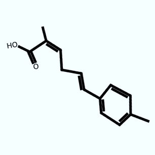 CC(=CCC=Cc1ccc(C)cc1)C(=O)O